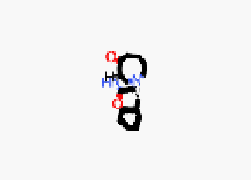 O=C1N[C@@H]2CN(CCCCC2=O)[C@@H]1Cc1ccccc1